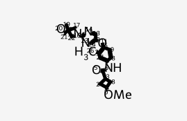 COC1CC(C(=O)Nc2ccc(Oc3cnc(N4CC5(COC5)C4)nc3)c(C)c2)C1